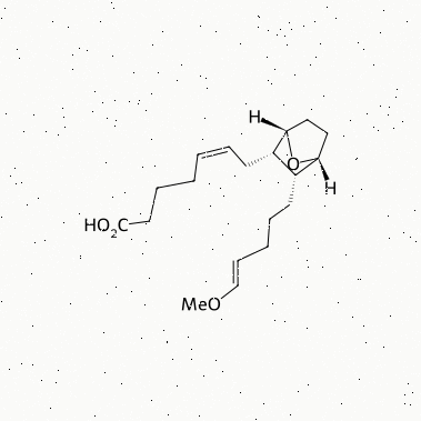 COC=CCCC[C@@H]1[C@H](C/C=C\CCCC(=O)O)[C@@H]2CC[C@H]1O2